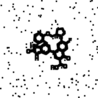 Cc1cccnc1OC[C@H]1CCCN1c1cc2c(cc1F)c(=O)c(C(=O)O)cn2-c1ccc2[nH]c(=O)[nH]c2c1